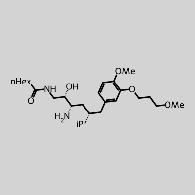 CCCCCCC(=O)NC[C@H](O)[C@@H](N)C[C@H](Cc1ccc(OC)c(OCCCOC)c1)C(C)C